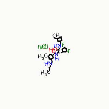 CCCCNCc1cc(C)cc(C(=O)N[C@@H](Cc2cc(F)cc(F)c2)[C@@H](O)CNCc2cccc(CC)c2)c1.Cl.Cl